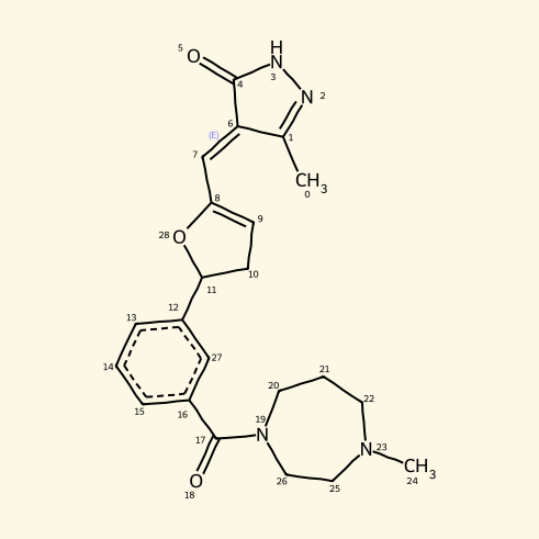 CC1=NNC(=O)/C1=C/C1=CCC(c2cccc(C(=O)N3CCCN(C)CC3)c2)O1